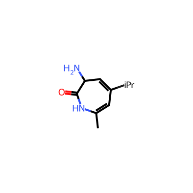 CC1=CC(C(C)C)=CC(N)C(=O)N1